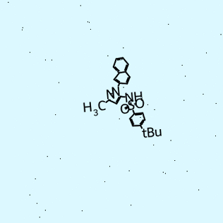 Cc1cc(NS(=O)(=O)c2ccc(C(C)(C)C)cc2)n(-c2ccc3ccccc3c2)n1